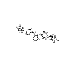 c1ccc(Sc2ccc(N3CCN4CCC3CC4)nn2)c(Sc2ccc(N3CCN4CCC3CC4)nn2)c1